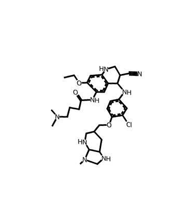 CCOc1cc2c(cc1NC(=O)CCCN(C)C)C(Nc1ccc(OCC3CNC4C(C3)NCN4C)c(Cl)c1)C(C#N)CN2